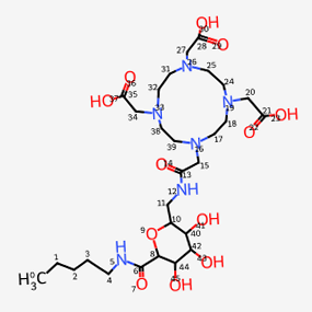 CCCCCNC(=O)C1OC(CNC(=O)CN2CCN(CC(=O)O)CCN(CC(=O)O)CCN(CC(=O)O)CC2)C(O)C(O)C1O